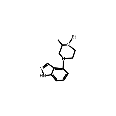 CCN1CCN(c2cccc3[nH]ncc23)CC1C